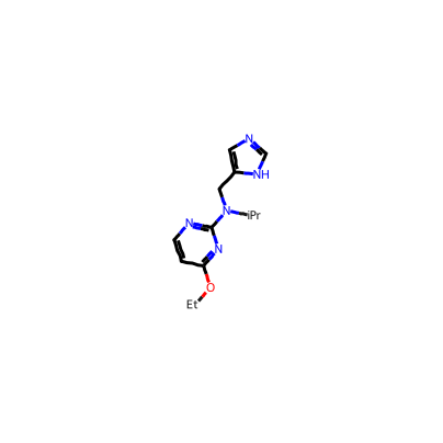 CCOc1ccnc(N(Cc2cnc[nH]2)C(C)C)n1